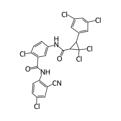 N#Cc1cc(Cl)ccc1NC(=O)c1cc(NC(=O)C2C(c3cc(Cl)cc(Cl)c3)C2(Cl)Cl)ccc1Cl